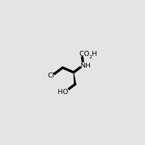 O=C(O)N[C@@H](CO)CCl